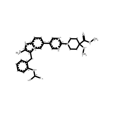 COC(=O)C1(OC)CCN(c2ncc(-c3ccc4nc(C)c(Cc5ccccc5OC(F)F)n4c3)cn2)CC1